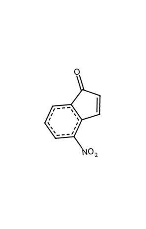 O=C1C=Cc2c1cccc2[N+](=O)[O-]